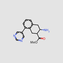 COC(=O)C1Cc2c(cccc2-c2cncnc2)CC1N